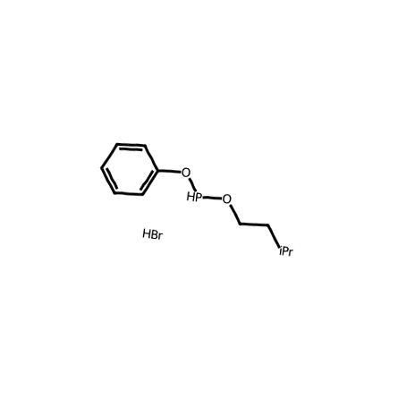 Br.CC(C)CCOPOc1ccccc1